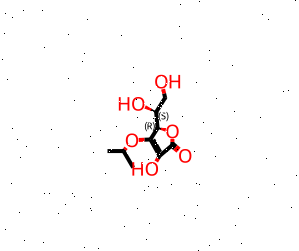 CC(C)OC1=C(O)C(=O)O[C@@H]1[C@@H](O)CO